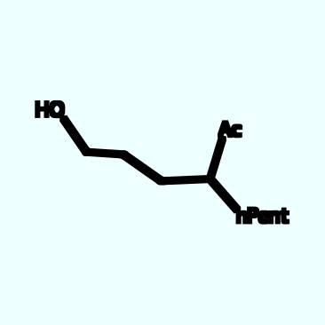 CCCCCC(CCCO)C(C)=O